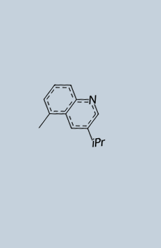 Cc1cccc2ncc(C(C)C)cc12